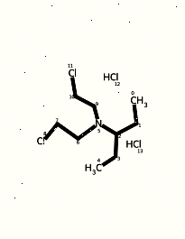 CCC(CC)N(CCCl)CCCl.Cl.Cl